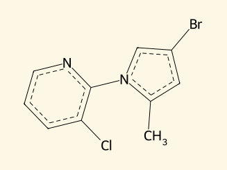 Cc1cc(Br)cn1-c1ncccc1Cl